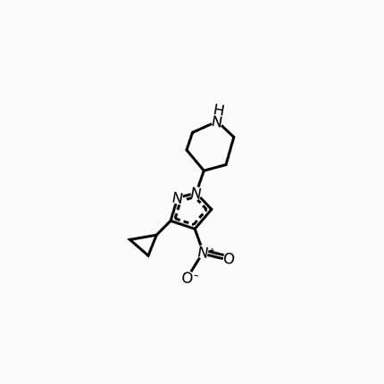 O=[N+]([O-])c1cn(C2CCNCC2)nc1C1CC1